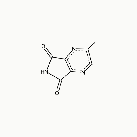 Cc1cnc2c(n1)C(=O)NC2=O